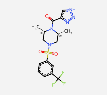 C[C@@H]1CN(S(=O)(=O)c2cccc(C(F)(F)F)c2)C[C@H](C)N1C(=O)c1c[nH]nn1